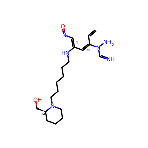 C=C/C(=C\C(=C\N=O)NCCCCCCN1CCCC[C@H]1CO)N(N)C=N